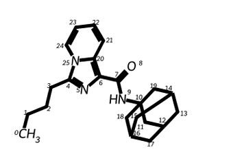 CCCCc1nc(C(=O)NC23CC4CC(CC(C4)C2)C3)c2ccccn12